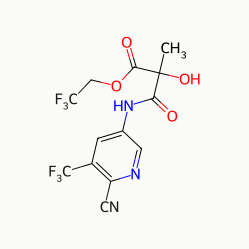 CC(O)(C(=O)Nc1cnc(C#N)c(C(F)(F)F)c1)C(=O)OCC(F)(F)F